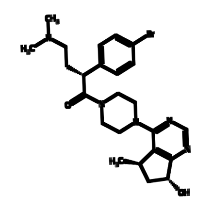 C[C@@H]1C[C@@H](O)c2ncnc(N3CCN(C(=O)[C@H](CCN(C)C)c4ccc(Br)cc4)CC3)c21